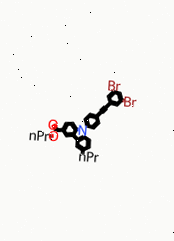 CCCOC(=O)c1ccc2c(c1)c1cc(CCC)ccc1n2-c1ccc(C#Cc2cc(Br)cc(Br)c2)cc1